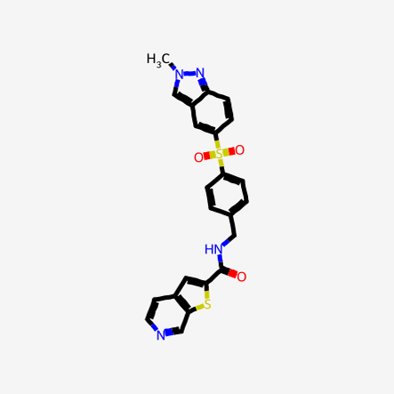 Cn1cc2cc(S(=O)(=O)c3ccc(CNC(=O)c4cc5ccncc5s4)cc3)ccc2n1